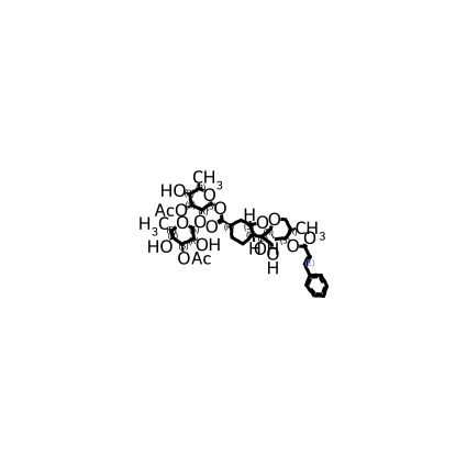 CC(=O)O[C@@H]1[C@@H](O)[C@H](O[C@H]2[C@H](OC(=O)[C@@H]3CC[C@@H]4[C@H](C3)O[C@]3(C[C@H](OC(=O)/C=C/c5ccccc5)[C@H](C)CO3)[C@@]4(O)CO)O[C@H](C)[C@@H](O)[C@@H]2OC(C)=O)O[C@H](C)[C@H]1O